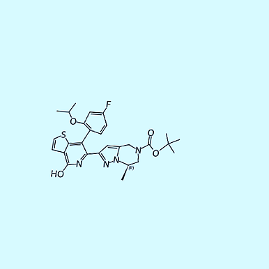 CC(C)Oc1cc(F)ccc1-c1c(-c2cc3n(n2)[C@H](C)CN(C(=O)OC(C)(C)C)C3)nc(O)c2ccsc12